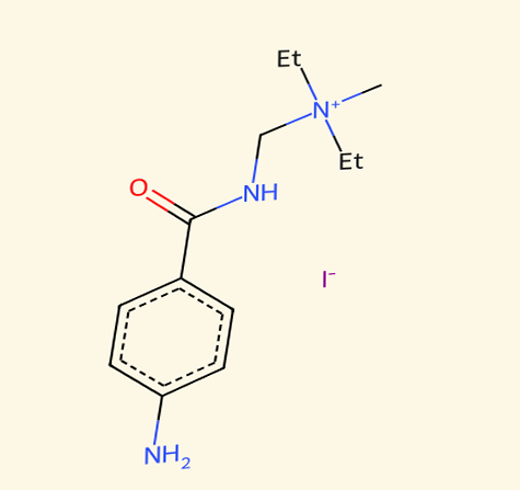 CC[N+](C)(CC)CNC(=O)c1ccc(N)cc1.[I-]